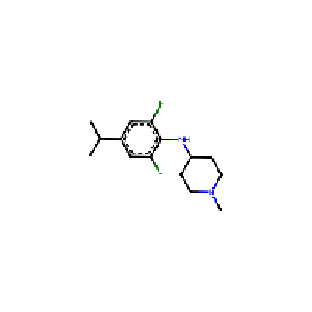 CC(C)c1cc(F)c(NC2CCN(C)CC2)c(F)c1